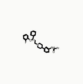 CC(C)C(=O)Nc1cccc(C2CCN(CC[C@H](Oc3ccccc3F)c3ccccc3)CC2)c1